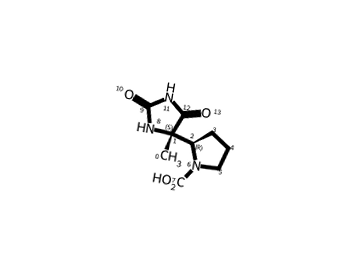 C[C@@]1([C@H]2CCCN2C(=O)O)NC(=O)NC1=O